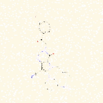 COc1cccc(C(=O)Cn2cnc3c(C#N)c(N4CCCC(N)C4)n(CC=CCl)c3c2=O)c1